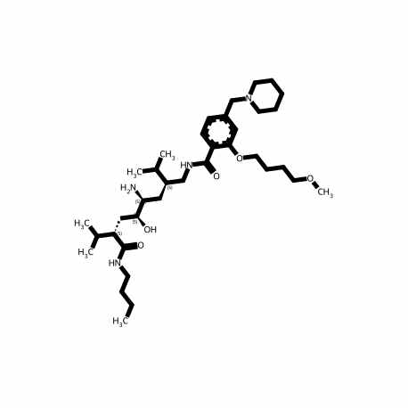 CCCCNC(=O)[C@@H](C[C@H](O)[C@@H](N)C[C@H](CNC(=O)c1ccc(CN2CCCCC2)cc1OCCCCOC)C(C)C)C(C)C